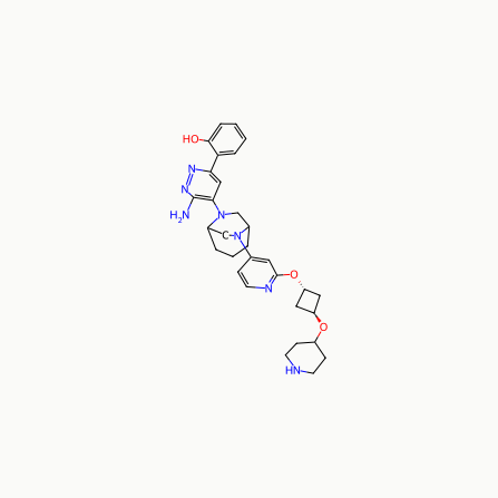 Nc1nnc(-c2ccccc2O)cc1N1CC2CCCC1CN2c1ccnc(O[C@H]2C[C@H](OC3CCNCC3)C2)c1